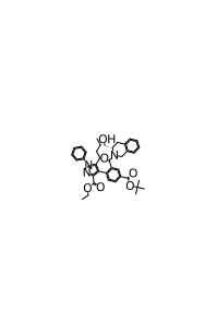 CCCCc1c(-c2ccc(C(=O)OC(C)(C)C)cc2C(=O)N2Cc3ccccc3C[C@H]2CO)c(C(=O)OCC)nn1-c1ccccc1